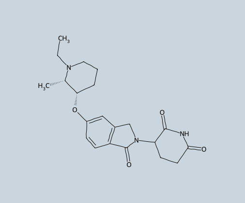 CCN1CCC[C@H](Oc2ccc3c(c2)CN(C2CCC(=O)NC2=O)C3=O)[C@@H]1C